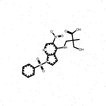 CC(CO)(CNc1c([N+](=O)[O-])cnc2c1ccn2S(=O)(=O)c1ccccc1)C(=O)O